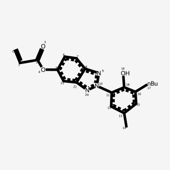 C=CC(=O)Oc1ccc2nn(-c3cc(C)cc(CCCC)c3O)nc2c1